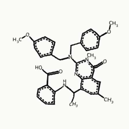 COc1ccc(CN(Cc2ccc(OC)cc2)c2nc3c(C(C)Nc4ccccc4C(=O)O)cc(C)cc3c(=O)n2C)cc1